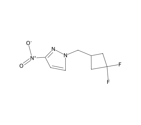 O=[N+]([O-])c1ccn(CC2CC(F)(F)C2)n1